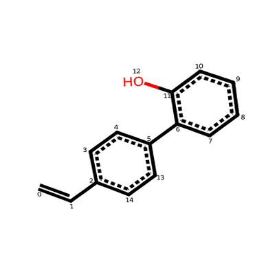 C=Cc1ccc(-c2ccccc2O)cc1